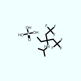 CCC(CC(F)(F)F)(CC(F)(F)F)NC(C)C.O=P(O)(O)O